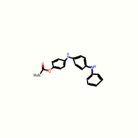 CNC(=O)Oc1ccc(Nc2ccc(Nc3ccccc3)cc2)cc1